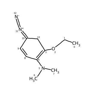 CCOC1=C(N(C)C)C=CC(=[N+]=[N-])C1